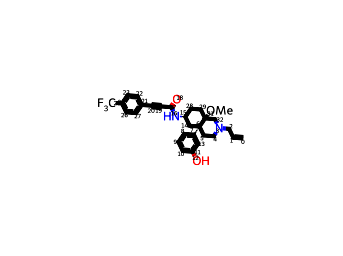 C=CCN1CC[C@@]2(c3cccc(O)c3)C[C@H](NC(=O)C#Cc3ccc(C(F)(F)F)cc3)CC[C@]2(OC)C1